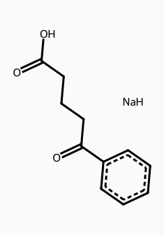 O=C(O)CCCC(=O)c1ccccc1.[NaH]